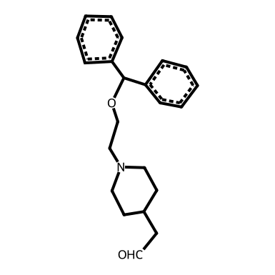 O=CCC1CCN(CCOC(c2ccccc2)c2ccccc2)CC1